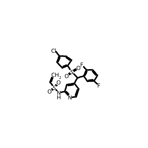 C=CS(=O)(=O)Nc1cc(C(c2cc(F)ccc2F)S(=O)(=O)c2ccc(Cl)cc2)ccn1